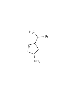 CCCC(C)C1C=CC(N)C1